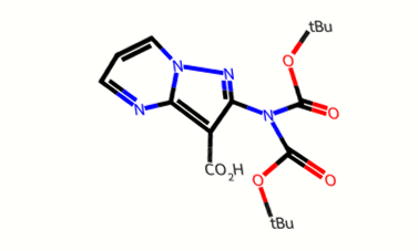 CC(C)(C)OC(=O)N(C(=O)OC(C)(C)C)c1nn2cccnc2c1C(=O)O